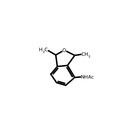 CC(=O)Nc1cccc2c1C(C)OC2C